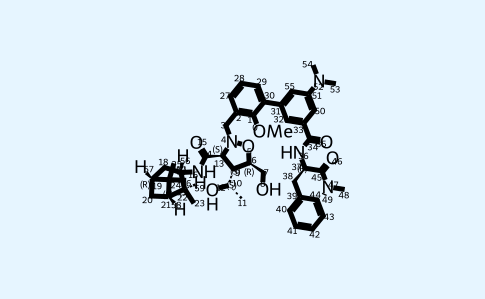 COc1c(CN2O[C@@H](CO)[C@H]([C@H](C)O)[C@H]2C(=O)N[C@H]2C[C@H]3C[C@@H]([C@@H]2C)C3(C)C)cccc1-c1cc(C(=O)N[C@H](Cc2ccccc2)C(=O)N(C)C)cc(N(C)C)c1